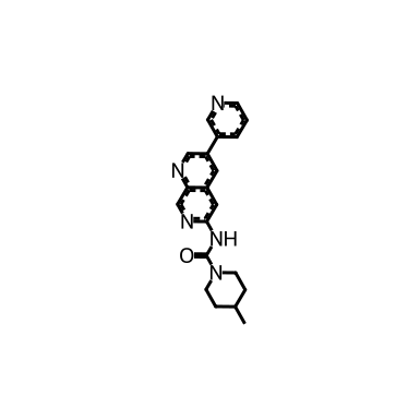 CC1CCN(C(=O)Nc2cc3cc(-c4cccnc4)cnc3cn2)CC1